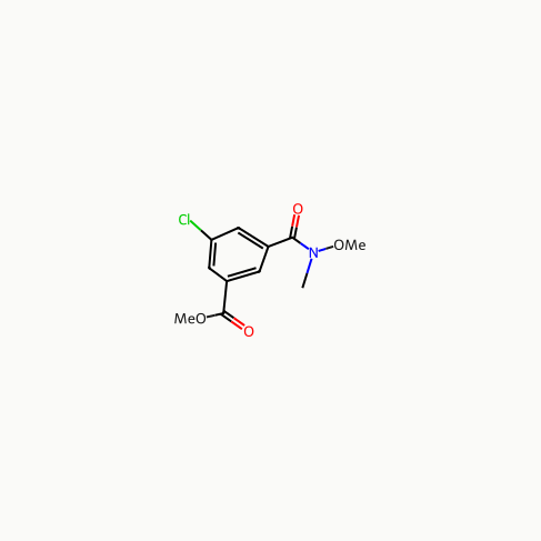 COC(=O)c1cc(Cl)cc(C(=O)N(C)OC)c1